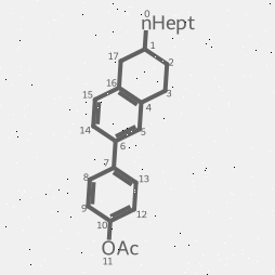 CCCCCCCC1CCc2cc(-c3ccc(OC(C)=O)cc3)ccc2C1